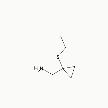 CCSC1(CN)CC1